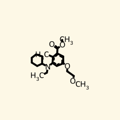 CCN(c1cc(OCCOC)cc(C(=O)OC)c1C)C1CCCCC1